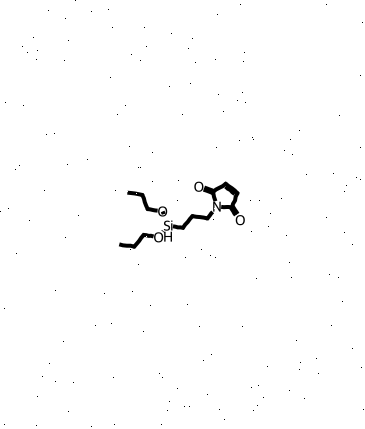 CCCO[SiH](CCCN1C(=O)C=CC1=O)OCCC